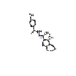 C/C(=N\NC(=O)c1ccc(O)cc1)c1ccc2ccccc2c1O